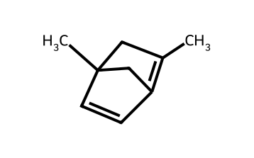 CC1=C2C=CC(C)(C1)C2